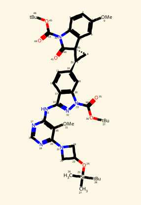 COc1ccc2c(c1)[C@]1(C[C@H]1c1ccc3c(Nc4ncnc(N5CC(O[Si](C)(C)C(C)(C)C)C5)c4OC)nn(C(=O)OC(C)(C)C)c3c1)C(=O)N2C(=O)OC(C)(C)C